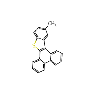 Cc1ccc2sc3c4ccccc4c4ccccc4c3c2c1